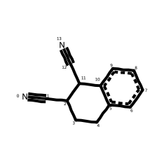 N#CC1CCc2ccccc2C1C#N